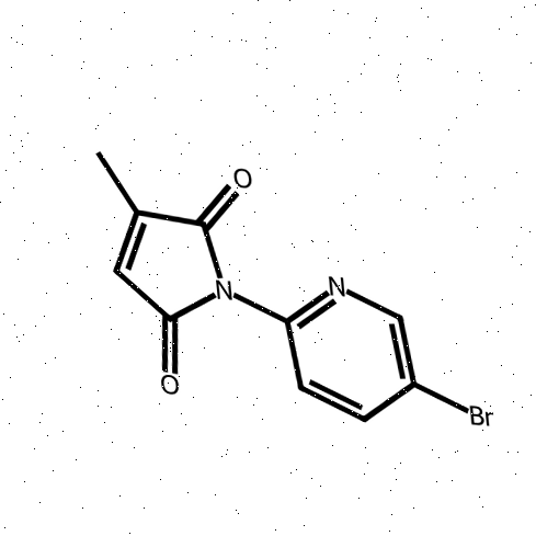 CC1=CC(=O)N(c2ccc(Br)cn2)C1=O